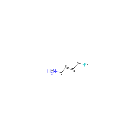 NC/C=C/CF